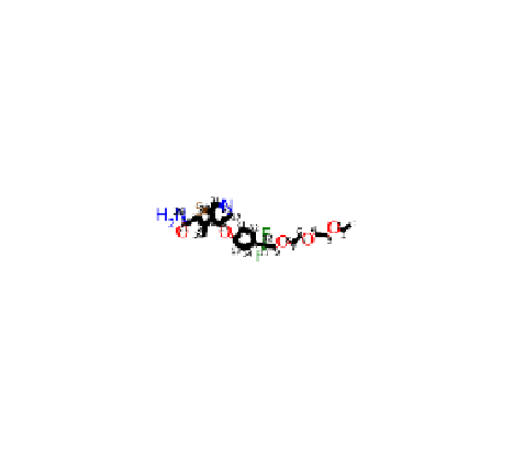 CCOCCOCCOCC(F)(F)c1ccc(Oc2cncc3sc(C(N)=O)c(C)c23)cc1